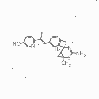 C[C@]12C[C@H]1[C@]1(Cc3ccc(/C=C(\F)c4ccc(C#N)cn4)cc31)N=C(N)S2